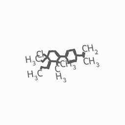 C=C(C)c1ccc(C2=CCC(Cl)(CC)/C(=C\CC)C2(C)C)cc1